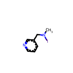 CN(I)Cc1cccnc1